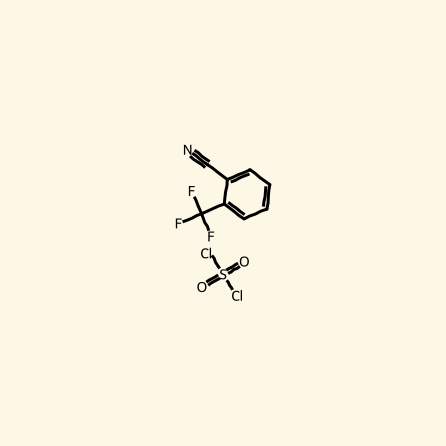 N#Cc1ccccc1C(F)(F)F.O=S(=O)(Cl)Cl